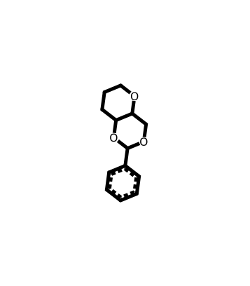 c1ccc(C2OCC3OCCCC3O2)cc1